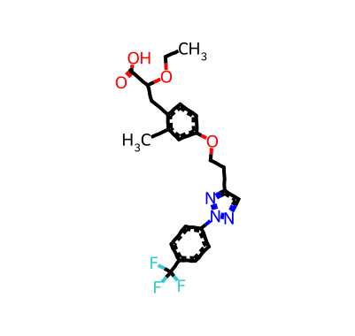 CCOC(Cc1ccc(OCCc2cnn(-c3ccc(C(F)(F)F)cc3)n2)cc1C)C(=O)O